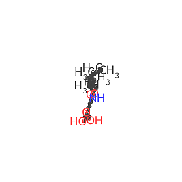 CC(C)CCC[C@H](C)[C@H]1CC[C@H]2C3CC=C4C[C@@H](OC(=O)NCCCCCCOC5CC(O)[C@@H](CO)C5)CC[C@]4(C)[C@H]3CC[C@]12C